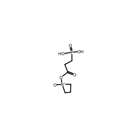 O=C(CCP(=O)(O)O)O[N+]1([O-])CCC1